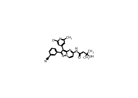 Cc1cc(-c2c(-c3cccc(C#N)c3)nn3ccc(NC(=O)CC(C)(C)O)nc23)cc(Cl)n1